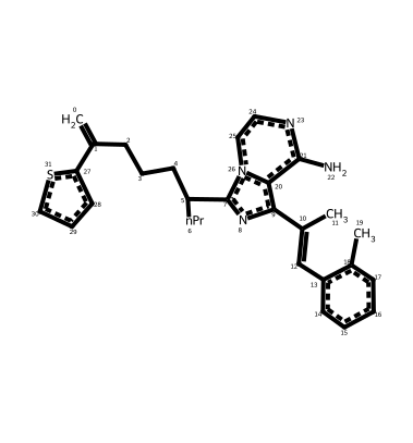 C=C(CCCC(CCC)c1nc(/C(C)=C/c2ccccc2C)c2c(N)nccn12)c1cccs1